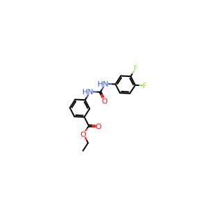 CCOC(=O)c1cccc(NC(=O)Nc2ccc(F)c(F)c2)c1